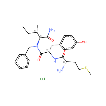 CC[C@H](C)[C@@H](C(N)=O)N(Cc1ccccc1)C(=O)[C@H](Cc1ccc(O)cc1)NC(=O)[C@@H](N)CCSC.Cl